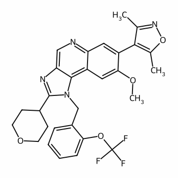 COc1cc2c(cc1-c1c(C)noc1C)ncc1nc(C3CCOCC3)n(Cc3ccccc3OC(F)(F)F)c12